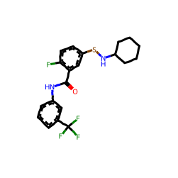 O=C(Nc1cccc(C(F)(F)F)c1)c1cc(SNC2CCCCC2)ccc1F